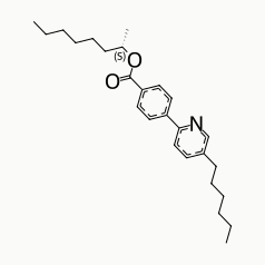 CCCCCCc1ccc(-c2ccc(C(=O)O[C@@H](C)CCCCCC)cc2)nc1